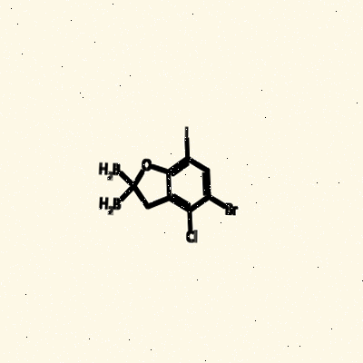 BC1(B)Cc2c(Cl)c(Br)cc(I)c2O1